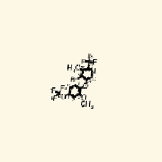 COc1cc(OC(F)(F)F)ccc1Oc1cnc(C(F)(F)F)c(C)c1Br